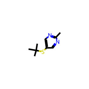 Cc1ncc(SC(C)(C)C)cn1